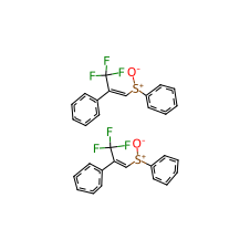 [O-][S+](/C=C(/c1ccccc1)C(F)(F)F)c1ccccc1.[O-][S+](/C=C(/c1ccccc1)C(F)(F)F)c1ccccc1